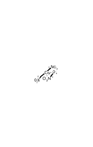 O=[N+]([O-])[Co+][N+](=O)[O-].O=[N+]([O-])[O-]